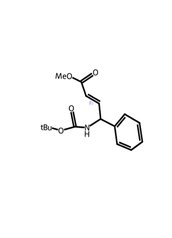 COC(=O)/C=C/C(NC(=O)OC(C)(C)C)c1ccccc1